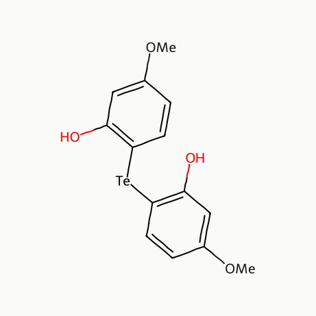 COc1ccc([Te]c2ccc(OC)cc2O)c(O)c1